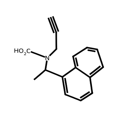 C#CCN(C(=O)O)C(C)c1cccc2ccccc12